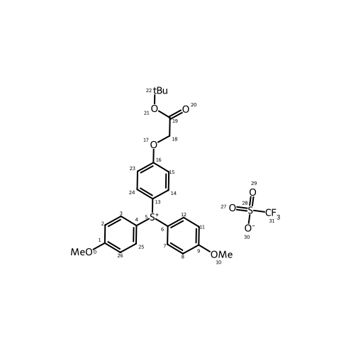 COc1ccc([S+](c2ccc(OC)cc2)c2ccc(OCC(=O)OC(C)(C)C)cc2)cc1.O=S(=O)([O-])C(F)(F)F